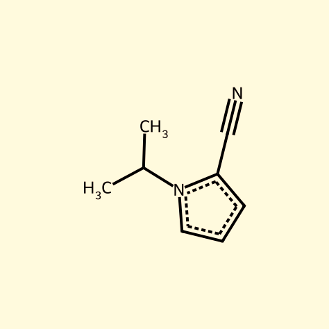 CC(C)n1cccc1C#N